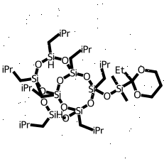 CCC1([Si](C)(C)O[Si]2(CC(C)C)O[Si]3(CC(C)C)O[SiH](CC(C)C)O[Si]4(CC(C)C)O[SiH](CC(C)C)O[Si](CC(C)C)(O[Si](CC(C)C)(O4)O3)O2)OCCCO1